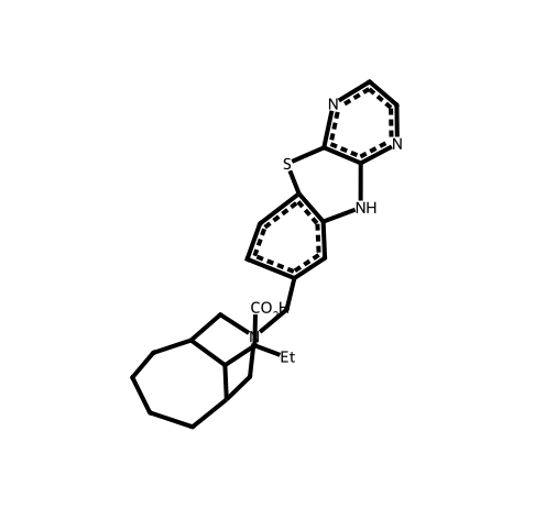 CCC(C(=O)O)C1C2CCCCC1CN(Cc1ccc3c(c1)Nc1nccnc1S3)C2